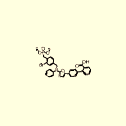 O=C(O)c1ccccc1-c1ccc(-c2cnc(N(Cc3ccc(CP(=O)(OF)OF)c(Br)c3)c3ccccc3)o2)cc1